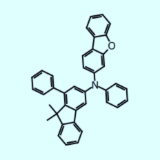 CC1(C)c2ccccc2-c2cc(N(c3ccccc3)c3ccc4c(c3)oc3ccccc34)cc(-c3ccccc3)c21